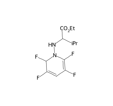 CCOC(=O)C(NN1C(F)=C(F)C=C(F)C1F)C(C)C